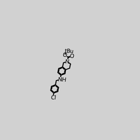 CC(C)(C)OC(=O)N1CCc2cc(NCc3ccc(Cl)cc3)ccc2C1